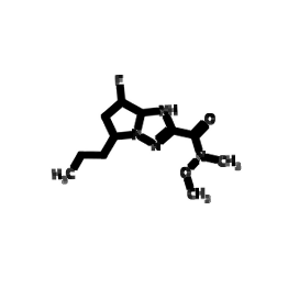 CCCC1CC(F)C2NC(C(=O)N(C)OC)=NN12